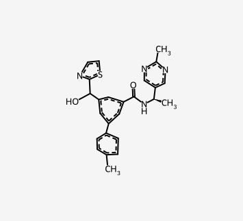 Cc1ccc(-c2cc(C(=O)N[C@H](C)c3cnc(C)nc3)cc(C(O)c3nccs3)c2)cc1